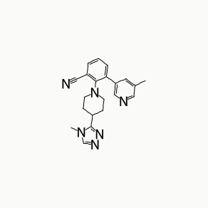 Cc1cncc(-c2cccc(C#N)c2N2CCC(c3nncn3C)CC2)c1